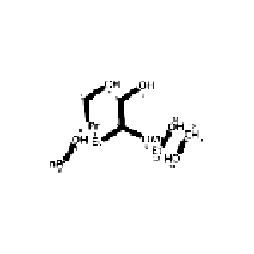 CC(C)CO.CCC(CO)OC.CCCO.CCO.CO